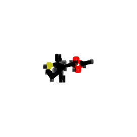 CC1OC([C@H]2[C@@H]3C=CS[C@@H]32)O1